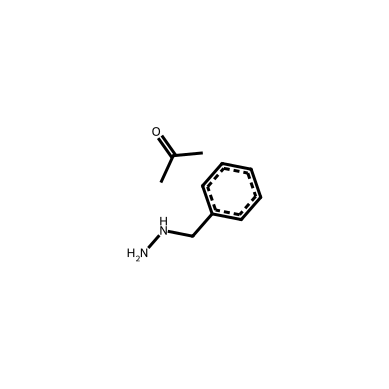 CC(C)=O.NNCc1ccccc1